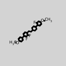 CCOc1ccc(C2=CCC(CCc3ccc(-c4ccc(OC)cc4)c(F)c3F)CC2)c(F)c1